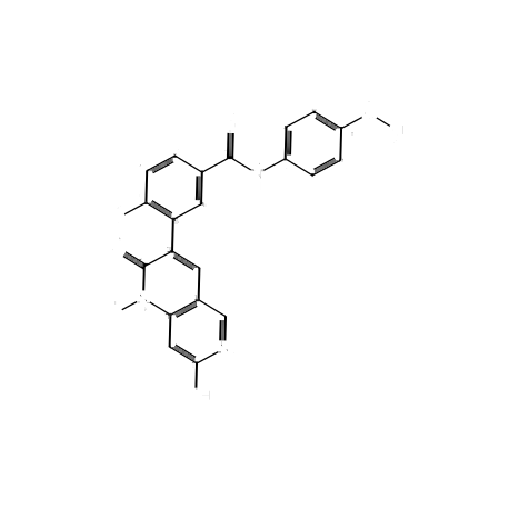 Cc1cc2c(cn1)cc(-c1cc(C(=O)Nc3ccc(OC(F)(F)F)cc3)ccc1C)c(=O)n2C